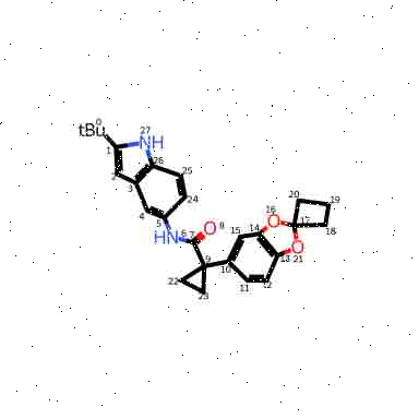 CC(C)(C)c1cc2cc(NC(=O)C3(c4ccc5c(c4)OC4(CCC4)O5)CC3)ccc2[nH]1